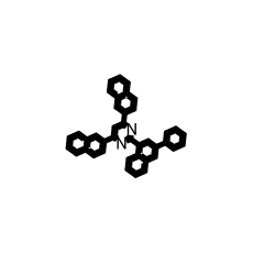 c1ccc(-c2cc(-c3nc(-c4ccc5ccccc5c4)cc(-c4ccc5ccccc5c4)n3)c3ccccc3c2)cc1